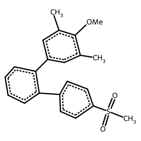 COc1c(C)cc(-c2ccccc2-c2ccc(S(C)(=O)=O)cc2)cc1C